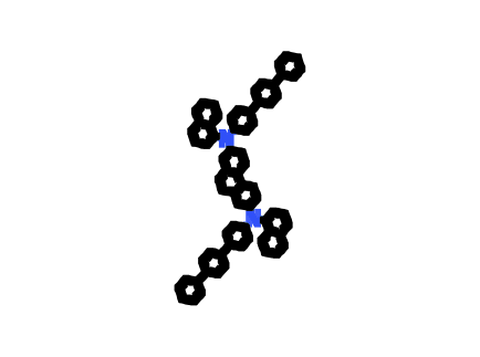 c1ccc(-c2ccc(-c3ccc(N(c4ccc5c(ccc6cc(N(c7ccc(-c8ccc(-c9ccccc9)cc8)cc7)c7cccc8ccccc78)ccc65)c4)c4cccc5ccccc45)cc3)cc2)cc1